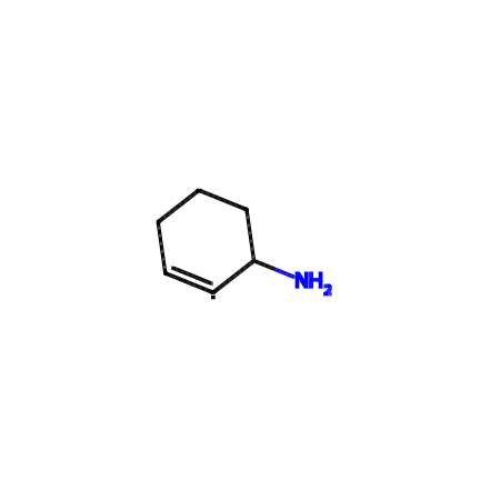 NC1[C]=CCCC1